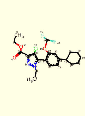 CCOC(=O)c1nn(CC)c(-c2ccc(C3CCCCC3)cc2OC(F)F)c1Cl